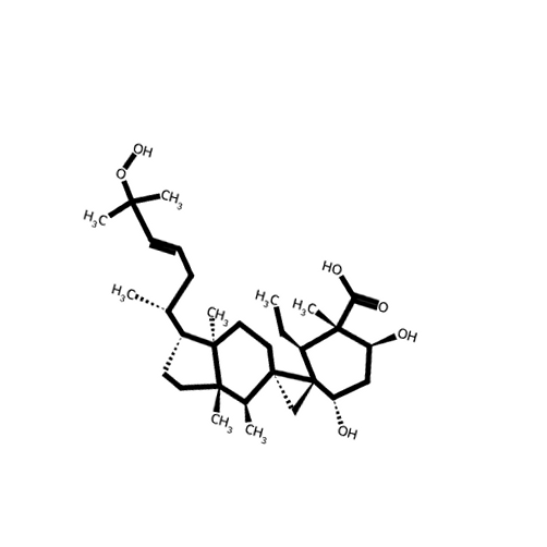 CC[C@H]1[C@](C)(C(=O)O)[C@@H](O)C[C@H](O)[C@@]12C[C@]21CC[C@]2(C)[C@@H]([C@H](C)C/C=C/C(C)(C)OO)CC[C@@]2(C)[C@@H]1C